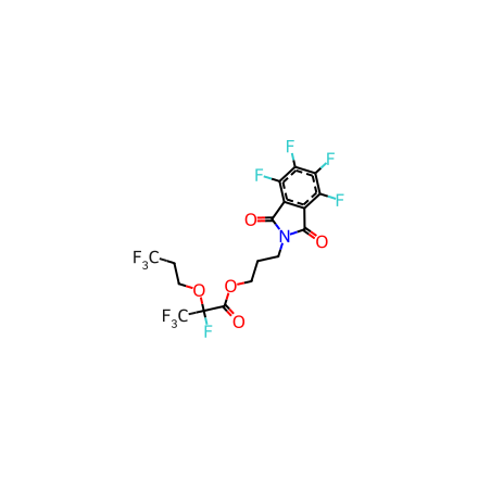 O=C1c2c(F)c(F)c(F)c(F)c2C(=O)N1CCCOC(=O)C(F)(OCCC(F)(F)F)C(F)(F)F